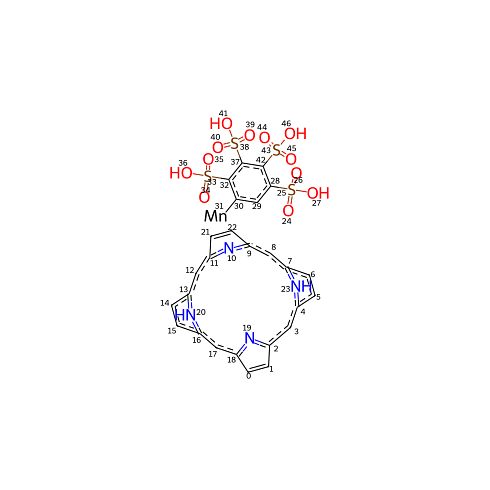 C1=Cc2cc3ccc(cc4nc(cc5ccc(cc1n2)[nH]5)C=C4)[nH]3.O=S(=O)(O)c1c[c]([Mn])c(S(=O)(=O)O)c(S(=O)(=O)O)c1S(=O)(=O)O